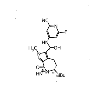 CC[C@H](C)[C@H]1CCc2c(cn(C)c2C(O)Nc2cc(F)nc(C#N)c2)S(=N)(=O)N1